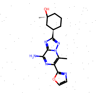 Cc1c(-c2ncco2)nc(N)c2nc([C@@H]3CCC[C@](C)(O)C3)nn12